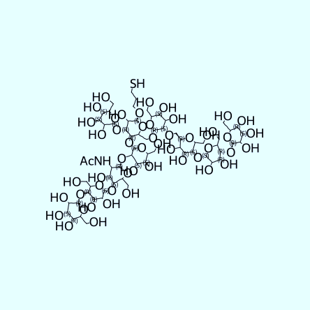 CC(=O)NC1[C@@H](OC2[C@H](O[C@@H]3C(CO[C@@H]4OC(CO)[C@@H](O)C(O)[C@@H]4OC[C@H]4OC(CO)[C@@H](O[C@@H]5OC(CO)[C@H](O[C@H]6OC(CO)[C@H](O)[C@H](O)C6O)[C@H](O)C5O)[C@H](O)C4O)O[C@H](OCCCS)C(O)[C@H]3O[C@@H]3OC(CO)[C@@H](O)[C@H](O)C3O)OC(CO)[C@@H](O)[C@@H]2O)OC(CO)[C@@H](O[C@@H]2OC(CO)[C@H](O[C@H]3OC(CO)[C@H](O)[C@H](O)C3O)[C@H](O)C2O)[C@@H]1O